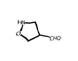 O=[C]C1CNOC1